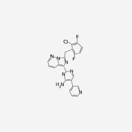 Nc1nc(-c2nc(Cc3c(F)ccc(F)c3Cl)n3ncccc23)ncc1-c1cccnc1